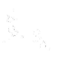 CC1(c2ccc(Cl)cn2)Oc2cccc(C3CCN(Cc4nc5cc(-c6nnc(C7CC7)[nH]6)ccc5n4CC4CCO4)CC3)c2O1